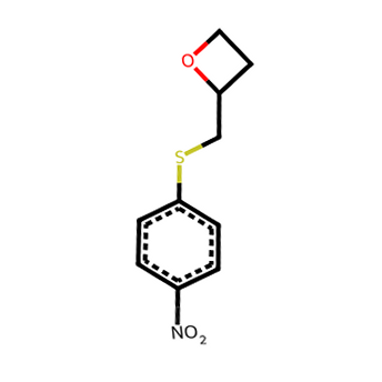 O=[N+]([O-])c1ccc(SCC2CCO2)cc1